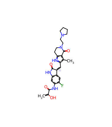 C=C(O)C(=O)Nc1cc2c(cc1F)/C(=C/c1[nH]c3c(c1C)C(=O)N(CCN1CCCC1)CC3)C(=O)N2